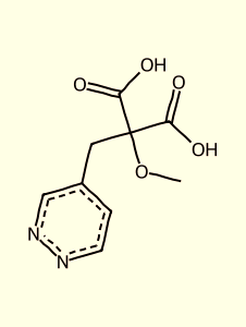 COC(Cc1ccnnc1)(C(=O)O)C(=O)O